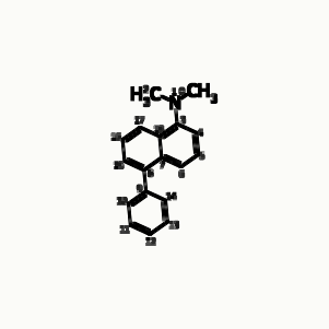 CN(C)c1cccc2c(-c3ccccc3)cccc12